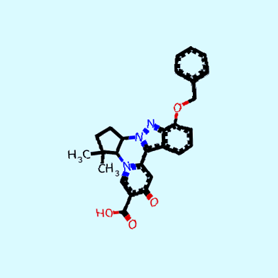 CC1(C)CCC2C1n1cc(C(=O)O)c(=O)cc1-c1c3cccc(OCc4ccccc4)c3nn12